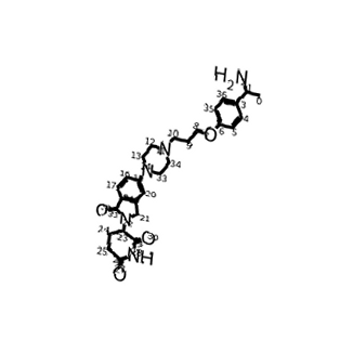 CC(N)c1ccc(OCCCN2CCN(c3ccc4c(c3)CN(C3CCC(=O)NC3=O)C4=O)CC2)cc1